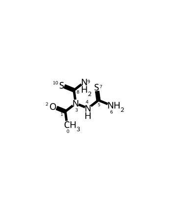 CC(=O)N(NC(N)=S)C(N)=S